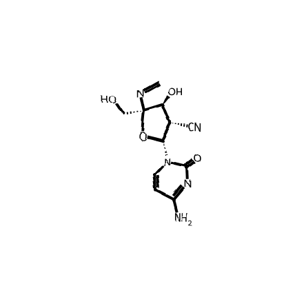 C=N[C@]1(CO)O[C@@H](n2ccc(N)nc2=O)[C@@H](C#N)[C@@H]1O